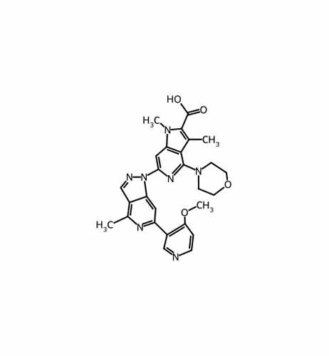 COc1ccncc1-c1cc2c(cnn2-c2cc3c(c(N4CCOCC4)n2)c(C)c(C(=O)O)n3C)c(C)n1